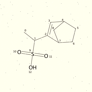 CC(C1=CC2CCC1C2)S(=O)(=O)O